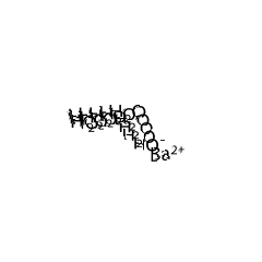 O.O.O.O.O.O.O.O.[Ba+2].[OH-].[OH-]